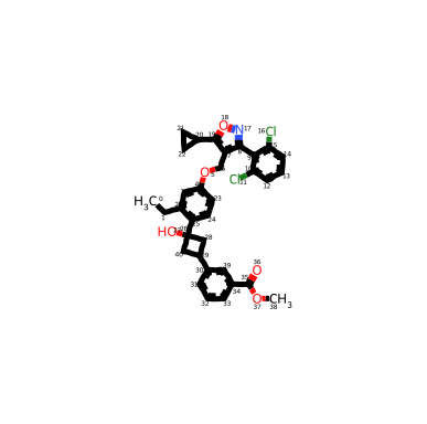 CCc1cc(OCc2c(-c3c(Cl)cccc3Cl)noc2C2CC2)ccc1C1(O)CC(c2cccc(C(=O)OC)c2)C1